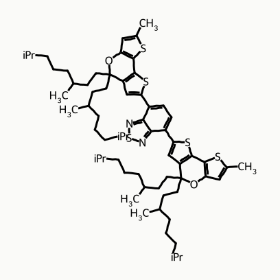 Cc1cc2c(s1)-c1sc(-c3ccc(-c4cc5c(s4)-c4sc(C)cc4OC5(CCC(C)CCCC(C)C)CCC(C)CCCC(C)C)c4nsnc34)cc1C(CCC(C)CCCC(C)C)(CCC(C)CCCC(C)C)O2